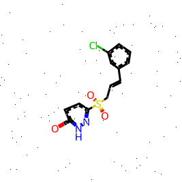 O=c1ccc(S(=O)(=O)CC=Cc2cccc(Cl)c2)n[nH]1